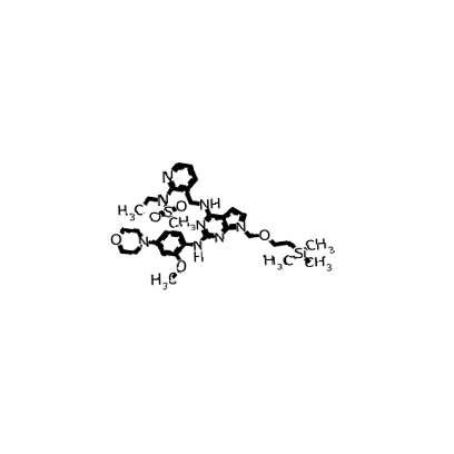 CCN(c1ncccc1CNc1nc(Nc2ccc(N3CCOCC3)cc2OC)nc2c1ccn2COCC[Si](C)(C)C)S(C)(=O)=O